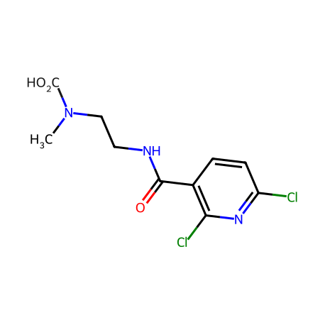 CN(CCNC(=O)c1ccc(Cl)nc1Cl)C(=O)O